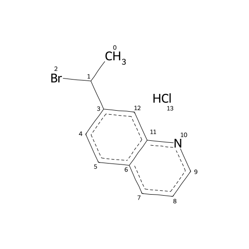 CC(Br)c1ccc2cccnc2c1.Cl